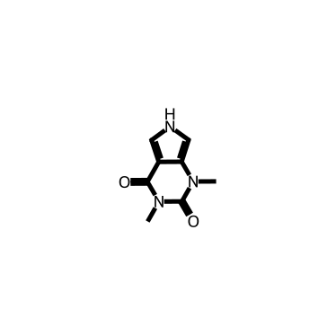 Cn1c(=O)c2c[nH]cc2n(C)c1=O